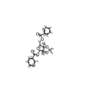 CC1(C)O[C@@H]2C(COC(=O)c3ccccn3)OC(OC(=O)c3cccnc3)[C@@H]2O1